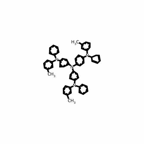 Cc1cccc(N(c2ccccc2)c2ccc(N(c3ccc(N(c4ccccc4)c4cccc(C)c4)cc3)c3ccc(N(c4cccc(C)c4)C4C=CC=CC4)cc3)cc2)c1